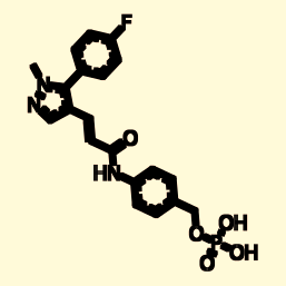 Cn1ncc(C=CC(=O)Nc2ccc(COP(=O)(O)O)cc2)c1-c1ccc(F)cc1